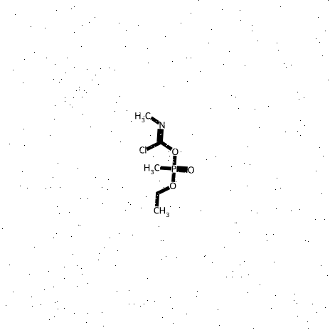 CCOP(C)(=O)OC(Cl)=NC